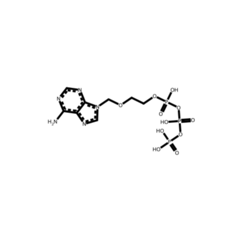 Nc1ncnc2c1ncn2COCCOP(=O)(O)OP(=O)(O)OP(=O)(O)O